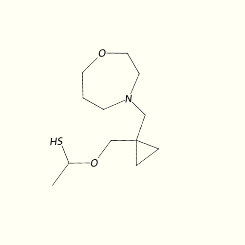 CC(S)OCC1(CN2CCCOCC2)CC1